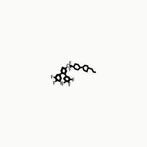 CCCC1CCC(C2CCC(C(F)(F)Oc3ccc(-c4cc(F)c(F)c(F)c4)c(-c4cc(F)c(F)c(F)c4)c3)CC2)CC1